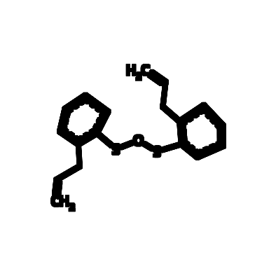 C=CCc1ccccc1SOSc1ccccc1CC=C